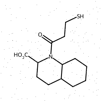 O=C(O)C1CCC2CCCCC2N1C(=O)CCS